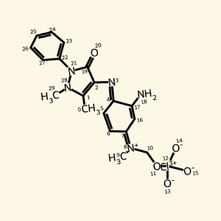 Cc1c(N=C2C=CC(=[N+](C)CO[Cl+3]([O-])([O-])[O-])C=C2N)c(=O)n(-c2ccccc2)n1C